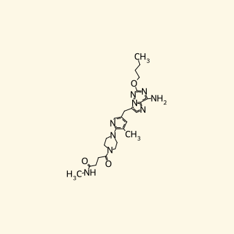 CCCCOc1nc(N)c2ncc(Cc3cnc(N4CCN(C(=O)CCC(=O)NC)CC4)c(C)c3)n2n1